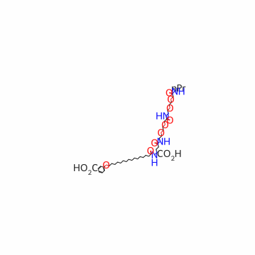 CCCNC(=O)COCCOCCNC(=O)COCCOCCNC(=O)CC[C@H](NC(=O)CCCCCCCCCCCCCCCOc1cccc(C(=O)O)c1)C(=O)O